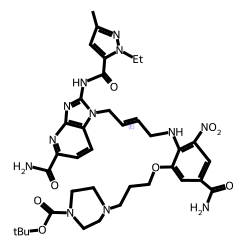 CCn1nc(C)cc1C(=O)Nc1nc2nc(C(N)=O)ccc2n1C/C=C/CNc1c(OCCCN2CCN(C(=O)OC(C)(C)C)CC2)cc(C(N)=O)cc1[N+](=O)[O-]